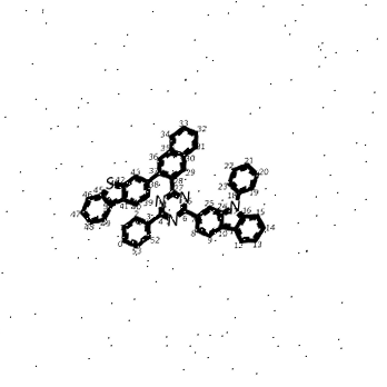 c1ccc(-c2nc(-c3ccc4c5ccccc5n(-c5ccccc5)c4c3)nc(-c3cc4ccccc4cc3-c3ccc4c(c3)sc3ccccc34)n2)cc1